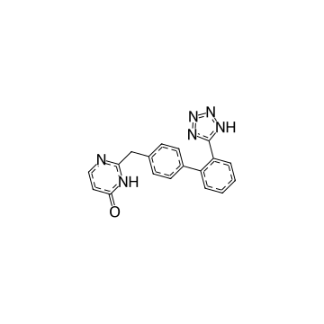 O=c1ccnc(Cc2ccc(-c3ccccc3-c3nnn[nH]3)cc2)[nH]1